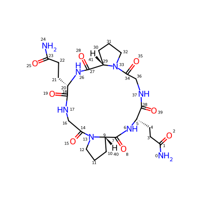 NC(=O)CC[C@@H]1NC(=O)[C@@H]2CCCN2C(=O)CNC(=O)[C@H](CCC(N)=O)NC(=O)[C@@H]2CCCN2C(=O)CNC1=O